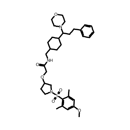 COc1cc(C)c(S(=O)(=O)N2CCC(OCC(=O)NCC3CCC(C(CCc4ccccc4)N4CCOCC4)CC3)C2)c(C)c1